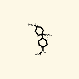 CCCCCCCC1CCC(OC)(C2CCC(OCCC)CC2)CC1